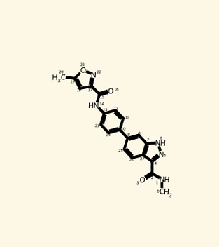 CNC(=O)c1n[nH]c2cc(-c3ccc(NC(=O)c4cc(C)on4)cc3)ccc12